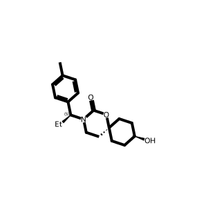 CC[C@@H](c1ccc(C)cc1)N1CC[C@]2(CC[C@H](O)CC2)OC1=O